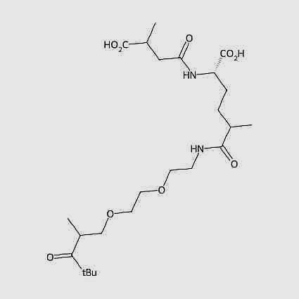 CC(CC(=O)N[C@@H](CCC(C)C(=O)NCCOCCOCC(C)C(=O)C(C)(C)C)C(=O)O)C(=O)O